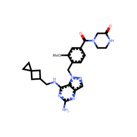 COc1cc(C(=O)N2CCNC(=O)C2)ccc1Cn1ncc2nc(N)nc(NCC3CC4(CC4)C3)c21